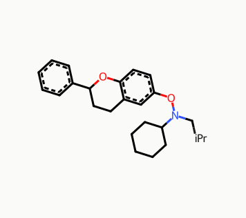 CC(C)CN(Oc1ccc2c(c1)CCC(c1ccccc1)O2)C1CCCCC1